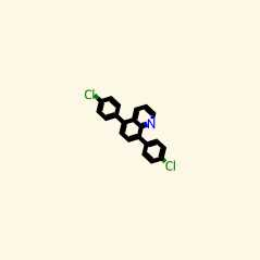 Clc1ccc(-c2ccc(-c3ccc(Cl)cc3)c3ncccc23)cc1